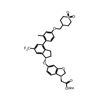 COC(=O)C[C@@H]1COc2cc(O[C@@H]3CCc4c(-c5ccc(OCC6CCS(=O)(=O)CC6)cc5C)cc(C(F)(F)F)cc43)ccc21